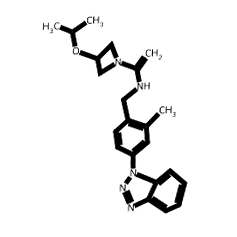 C=C(NCc1ccc(-n2nnc3ccccc32)cc1C)N1CC(OC(C)C)C1